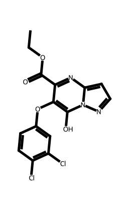 CCOC(=O)c1nc2ccnn2c(O)c1Oc1ccc(Cl)c(Cl)c1